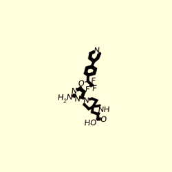 Nc1nc(O[C@H](c2ccc(-c3ccncc3)cc2)C(F)(F)F)cc(N2CCC3(CC2)CNC(C(=O)O)C3)n1